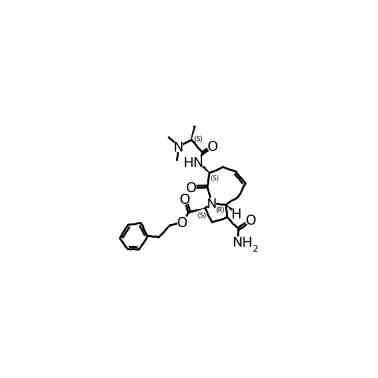 C[C@@H](C(=O)N[C@H]1CC=CC[C@@H]2C(C(N)=O)C[C@@H](C(=O)OCCc3ccccc3)N2C1=O)N(C)C